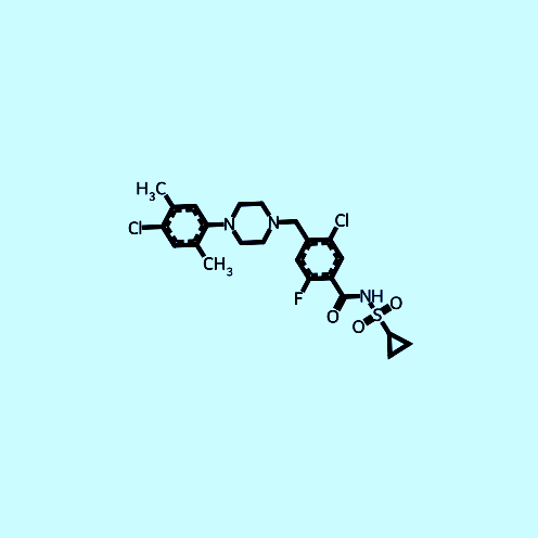 Cc1cc(N2CCN(Cc3cc(F)c(C(=O)NS(=O)(=O)C4CC4)cc3Cl)CC2)c(C)cc1Cl